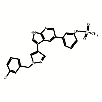 CS(=O)(=O)Nc1cccc(-c2cnc3[nH]cc(-c4cnn(Cc5cccc(Cl)c5)c4)c3c2)c1